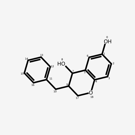 Oc1ccc2c(c1)C(O)C(Cc1ccccc1)CO2